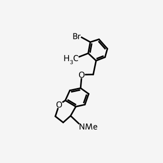 CNC1CCOc2cc(OCc3cccc(Br)c3C)ccc21